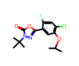 CC(C)Oc1cc(-c2nn(C(C)(C)C)c(=O)o2)c(F)cc1Cl